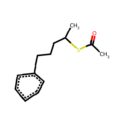 CC(=O)SC(C)CCCc1ccccc1